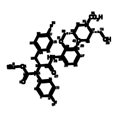 CC(C)(C)OC(=O)N(c1ccc(F)cc1)[C@@H](Cc1ccc(F)cc1)C(=O)Nc1cccc(F)c1OC[C@@H]1CN(C(=O)O)[C@H](CO)CO1